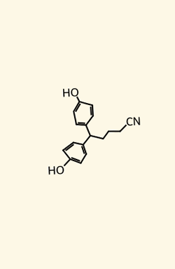 N#CCCCC(c1ccc(O)cc1)c1ccc(O)cc1